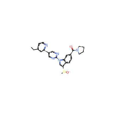 CCc1ccnc(-c2cnc(-n3cc([S+](C)[O-])c4ccc(C(=O)N5CCCC5)cc43)nc2)c1